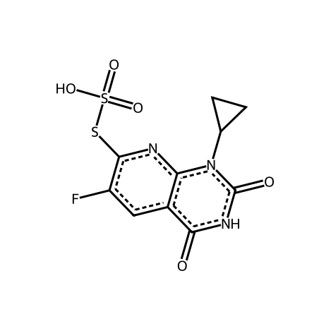 O=c1[nH]c(=O)n(C2CC2)c2nc(SS(=O)(=O)O)c(F)cc12